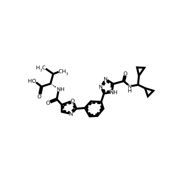 CC(C)[C@H](NC(=O)c1cnc(-c2cccc(-c3nnc(C(=O)NC(C4CC4)C4CC4)[nH]3)c2)o1)C(=O)O